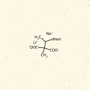 CCCCCC(C)C(C)(C(=O)[O-])C(=O)[O-].[Li+].[Na+]